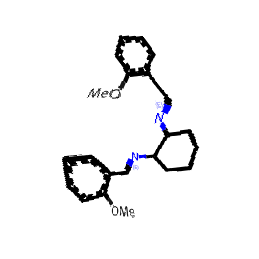 COc1ccccc1/C=N/C1CCCCC1/N=C/c1ccccc1OC